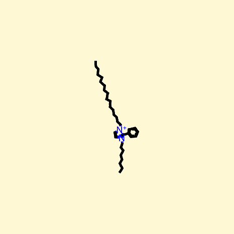 CCCCCCCCCCCCCCCCC[n+]1ccn(CCCCCCCC)c1-c1ccccc1